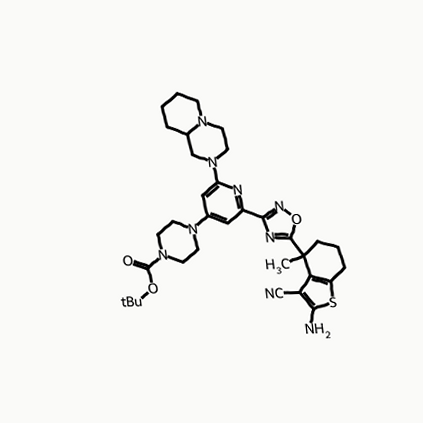 CC(C)(C)OC(=O)N1CCN(c2cc(-c3noc(C4(C)CCCc5sc(N)c(C#N)c54)n3)nc(N3CCN4CCCCC4C3)c2)CC1